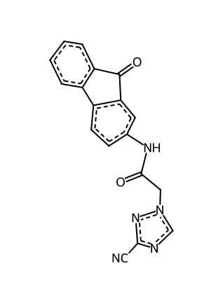 N#Cc1ncn(CC(=O)Nc2ccc3c(c2)C(=O)c2ccccc2-3)n1